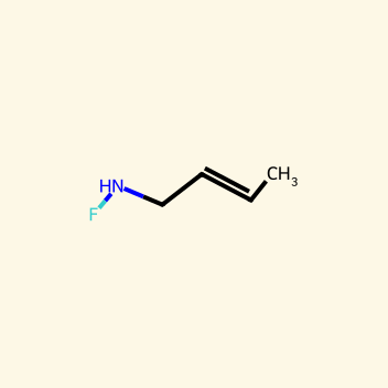 C/C=C/CNF